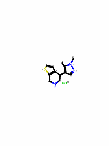 Cc1c(C2CNCc3sccc32)cnn1C.Cl